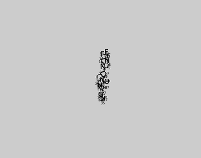 Cc1cc(-c2ccc3nc(C(F)(F)F)ccc3n2)ccc1N1CCn2nc(CO[Si](C)(C)C(C)(C)C)c(C)c2C1=O